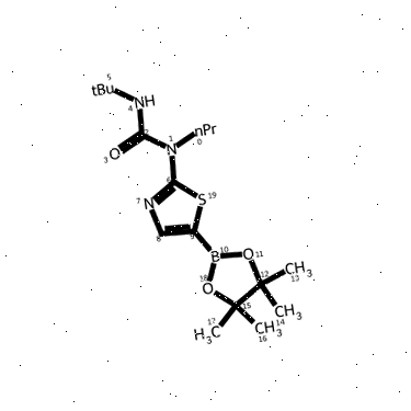 CCCN(C(=O)NC(C)(C)C)c1ncc(B2OC(C)(C)C(C)(C)O2)s1